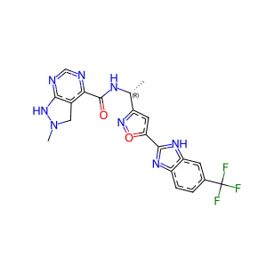 C[C@@H](NC(=O)c1ncnc2c1CN(C)N2)c1cc(-c2nc3ccc(C(F)(F)F)cc3[nH]2)on1